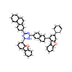 C1=CCC(c2cc(-c3ccc4cc(C5N=C(c6ccc7c(ccc8ccccc87)c6)N=C(c6cccc7c6oc6ccccc67)N5)ccc4c3)c3c(c2)oc2ccccc23)C=C1